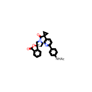 CC(=O)Nc1ccc(-c2ccc(C3(C(=O)N4CC[C@@]5(C4)OC(=O)c4ccccc45)CC3)cn2)cc1